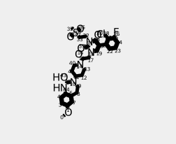 COc1ccc2c(c1)CCN(C1CCN(C(=O)Cn3cc(-c4cccc(F)c4Cl)c(=O)n(CCS(C)(=O)=O)c3=O)CC1)C(O)N2